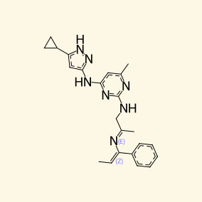 C/C=C(\N=C(/C)CNc1nc(C)cc(Nc2cc(C3CC3)[nH]n2)n1)c1ccccc1